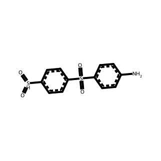 Nc1ccc(S(=O)(=O)c2ccc([SH](=O)=O)cc2)cc1